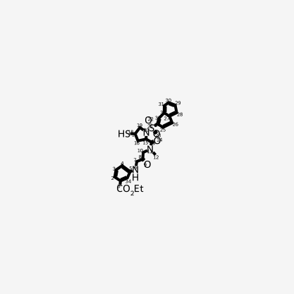 CCOC(=O)c1cccc(NCC(=O)CN(C)C(=O)C2CC(S)CN2S(=O)(=O)c2ccc3ccccc3c2)c1